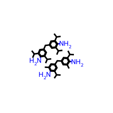 CC(C)c1cc(Cc2cc(C(C)C)c(N)c(C(C)C)c2)cc(C(C)C)c1N.Cc1cc(Cc2cc(C)c(N)c(C(C)C)c2)cc(C(C)C)c1N